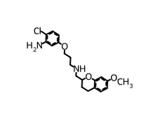 COc1ccc2c(c1)OC(CNCCCOc1ccc(Cl)c(N)c1)CC2